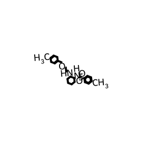 CC1=CCC(COCCN[C@@H]2CCCC[C@H]2NS(=O)(=O)c2ccc(C)cc2)=CC1